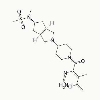 C=C(Cl)/C(C)=C(\N=C/N)C(=O)N1CCC(N2C[C@H]3C[C@@H](N(C)S(C)(=O)=O)C[C@H]3C2)CC1